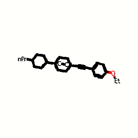 CCCC1CCC(C23CCC(C#Cc4ccc(OCC)cc4)(CC2)CC3)CC1